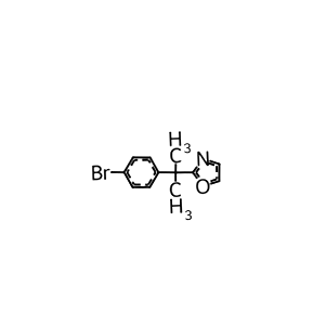 CC(C)(c1ccc(Br)cc1)c1ncco1